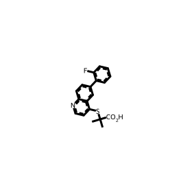 CC(C)(Sc1ccnc2ccc(-c3ccccc3F)cc12)C(=O)O